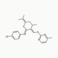 CC(C)=C1CC(C)C(=C\Sc2nccc(C)n2)/C(=N/c2ccc(Cl)cc2)S1